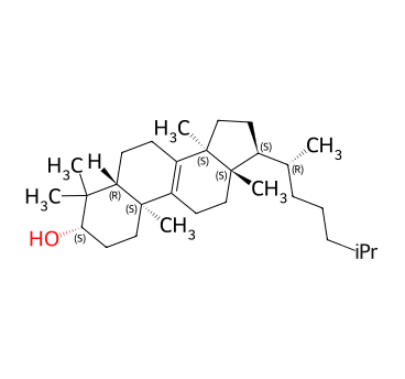 CC(C)CCC[C@@H](C)[C@@H]1CC[C@]2(C)C3=C(CC[C@@]12C)[C@@]1(C)CC[C@H](O)C(C)(C)[C@@H]1CC3